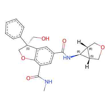 CNC(=O)c1cc(C(=O)N[C@H]2[C@@H]3COC[C@@H]32)cc2c1OC[C@@]2(CO)c1ccccc1